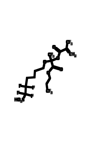 C=C(C(=O)OC(OCCCCC(F)(F)C(F)(F)S(=O)(=O)O)(C(=O)OCCC(F)(F)F)C(F)(F)F)C(F)(F)F